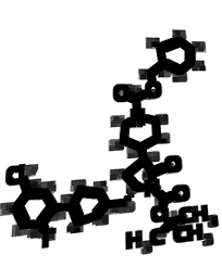 CC(C)(C)OC(=O)N1C(=O)C(C2CCN(C(=O)OCc3ccccc3)CC2)C[C@H]1Cc1ccc(-c2cc(Cl)ccc2F)cc1